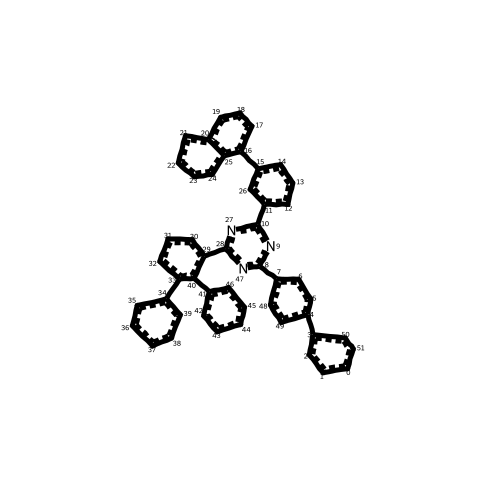 c1ccc(-c2ccc(-c3nc(-c4cccc(-c5cccc6ccccc56)c4)nc(-c4cccc(-c5ccccc5)c4-c4ccccc4)n3)cc2)cc1